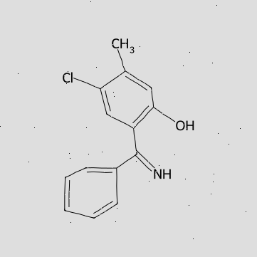 Cc1cc(O)c(C(=N)c2ccccc2)cc1Cl